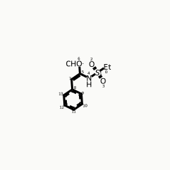 CCS(=O)(=O)NC([C]=O)=Cc1ccccc1